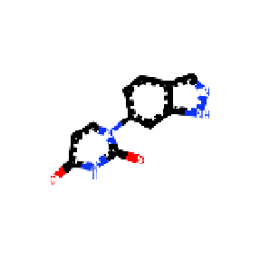 O=c1ccn(-c2ccc3cn[nH]c3c2)c(=O)[nH]1